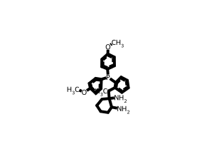 COc1ccc(P(c2ccc(OC)cc2)c2ccccc2C(C)C2(N)CCCCC2N)cc1